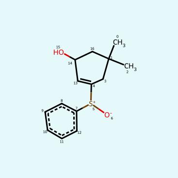 CC1(C)CC([S+]([O-])c2ccccc2)=CC(O)C1